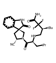 CC(C)C[C@H](NC[C@H](C(C)(C)C)C(F)(F)C(N)=O)C(=O)N1C[C@]2(C[C@H]1C#N)C(=O)Nc1ccccc12